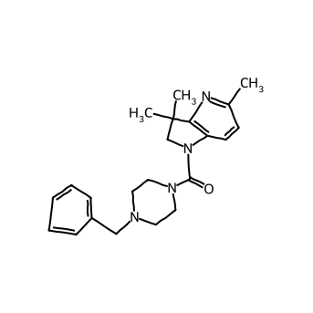 Cc1ccc2c(n1)C(C)(C)CN2C(=O)N1CCN(Cc2ccccc2)CC1